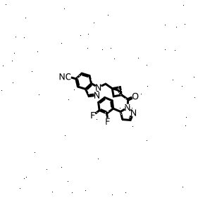 N#Cc1ccc2c(cnn2CC23CC(C(=O)N4N=CCC4c4cccc(F)c4F)(C2)C3)c1